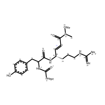 CCCCCCCC(=O)NC(Cc1ccc(O)cc1)C(=O)N[C@H](/C=C/C(=O)N(C)OC)CCCNC(=N)N